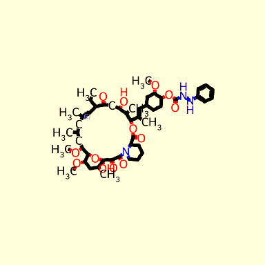 CCC1/C=C(\C)CC(C)CC(OC)C2OC(O)(C(=O)C(=O)N3CCCCC3C(=O)OC(C(C)=CC3CCC(OC(=O)NNc4ccccc4)C(OC)C3)C(C)C(O)CC1=O)C(C)CC2OC